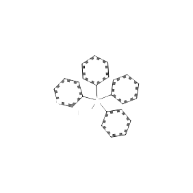 CP(c1ccccc1)(c1ccccc1)(c1ccccc1)c1cccnc1.Cl